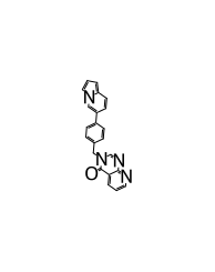 O=c1c2cccnc2ncn1Cc1ccc(-c2ccc3cccn3c2)cc1